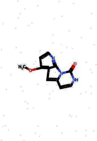 COc1ccnc2c1cc1cc[nH]c(=O)n12